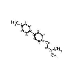 Cc1ccc(-c2ccc(OCC(C)C)cc2)cc1